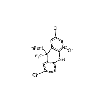 CCCCCC1(C(F)(F)F)c2cc(Cl)ccc2Nc2c1cc(Cl)c[n+]2[O-]